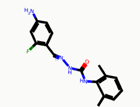 Cc1cccc(C)c1NC(=O)N/N=C/c1ccc(N)cc1F